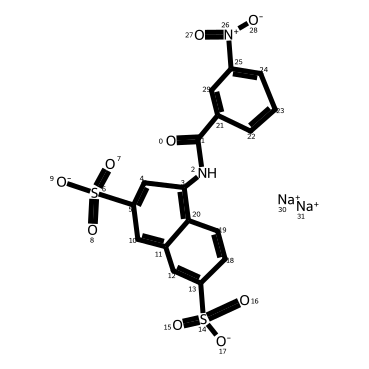 O=C(Nc1cc(S(=O)(=O)[O-])cc2cc(S(=O)(=O)[O-])ccc12)c1cccc([N+](=O)[O-])c1.[Na+].[Na+]